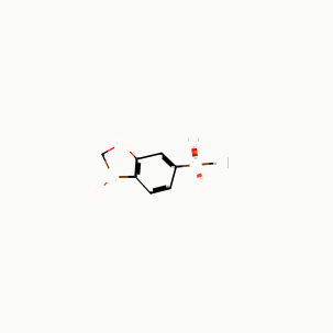 O=S(=O)(c1ccc2c(c1)OC[S+]2[O-])C(F)(F)F